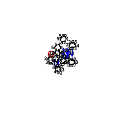 c1ccc(-c2ccc3c(c2)c(-c2nc(-c4ccccc4)nc(-c4ccccc4)n2)cc2c3oc3cccc(-n4c5ccccc5c5ccccc54)c32)cc1